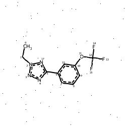 CCn1nnc(-c2cccc(OC(F)(F)F)c2)n1